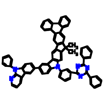 CC1(C)c2cc3c4ccccc4c4ccccc4c3cc2-c2cc3c4cc(-c5ccc6c(c5)c5cccnc5n6-c5ccccc5)ccc4n(-c4cccc(-c5nc(-c6ccccc6)nc(-c6ccccc6)n5)c4)c3cc21